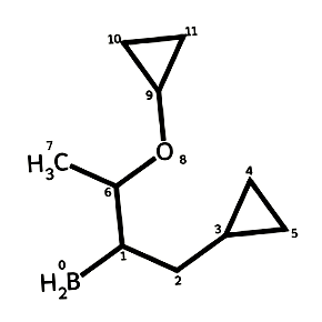 BC(CC1CC1)C(C)OC1CC1